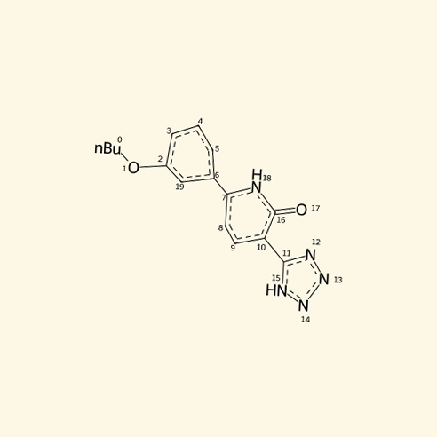 CCCCOc1cccc(-c2ccc(-c3nnn[nH]3)c(=O)[nH]2)c1